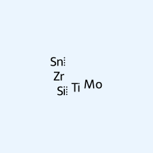 [Mo].[Si].[Sn].[Ti].[Zr]